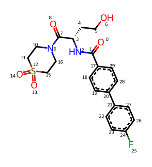 O=C(N[C@@H](CCO)C(=O)N1CCS(=O)(=O)CC1)c1ccc(-c2ccc(F)cc2)cc1